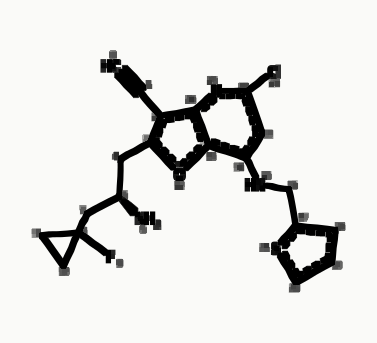 C#Cc1c(C[C@@H](N)CC2(F)CC2)oc2c(NCc3cccs3)cc(Cl)nc12